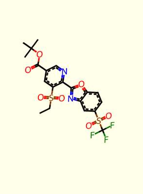 CCS(=O)(=O)c1cc(C(=O)OC(C)(C)C)cnc1-c1nc2cc(S(=O)(=O)C(F)(F)F)ccc2o1